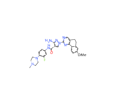 COc1ccc2c(c1)CCc1cnc(-n3cc(C(=O)Nc4ccc(N5CCN(C)CC5)c(F)c4)c(N)n3)nc1-2